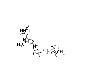 C[C@@H]1CN(c2ccc3c(C4CCC(=O)NC4=O)nn(C)c3c2)CCN1CC1CCN(C(=O)OC(C)(C)C)CC1